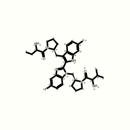 CCC(N)C(=O)N1CCC[C@H]1Cc1c(-c2nc3cc(F)ccc3n2C[C@@H]2CCCN2C(=O)C(N)C(C)C)[nH]c2cc(F)ccc12